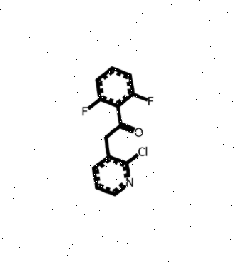 O=C(Cc1cccnc1Cl)c1c(F)cccc1F